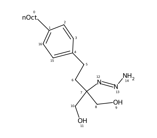 CCCCCCCCc1ccc(CCC(CO)(CO)N=NN)cc1